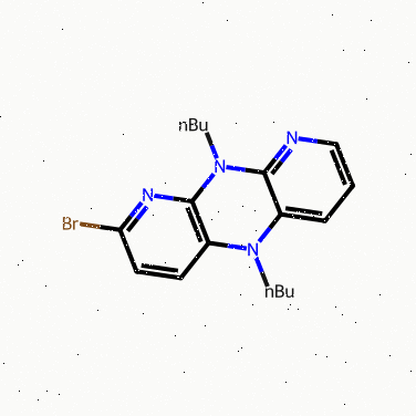 CCCCN1c2cccnc2N(CCCC)c2nc(Br)ccc21